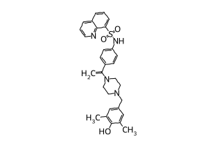 C=C(c1ccc(NS(=O)(=O)c2cccc3cccnc23)cc1)N1CCN(Cc2cc(C)c(O)c(C)c2)CC1